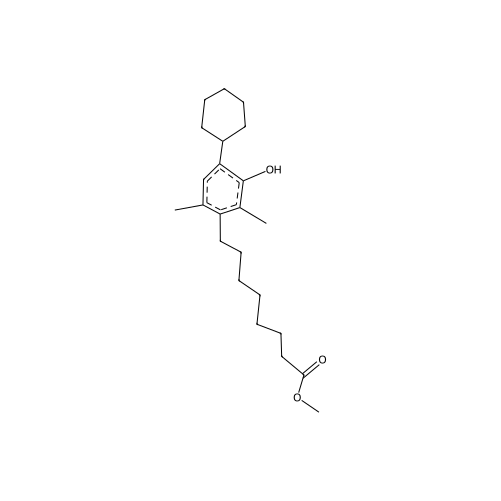 COC(=O)CCCCCCCc1c(C)cc(C2CCCCC2)c(O)c1C